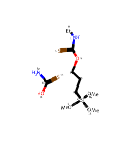 CCNC(=S)OCCC[Si](OC)(OC)OC.NC(O)=S